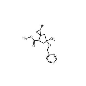 CC(C)(C)OC(=O)N1CC(OCc2ccccc2)(C(F)(F)F)CC12CC2Br